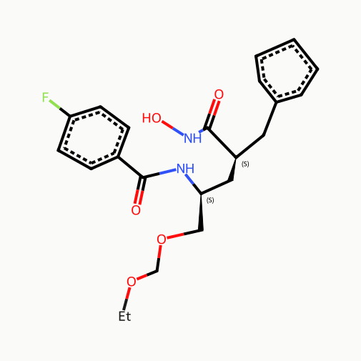 CCOCOC[C@H](C[C@H](Cc1ccccc1)C(=O)NO)NC(=O)c1ccc(F)cc1